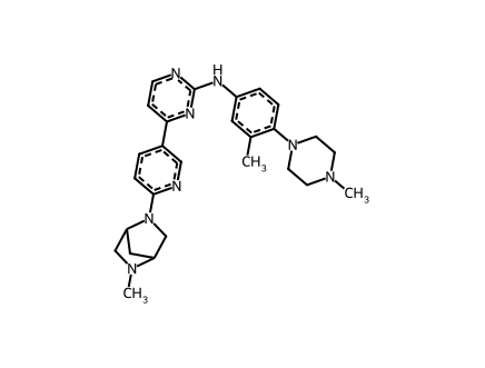 Cc1cc(Nc2nccc(-c3ccc(N4CC5CC4CN5C)nc3)n2)ccc1N1CCN(C)CC1